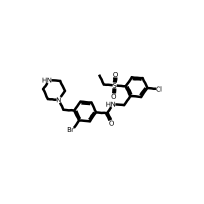 CCS(=O)(=O)c1ccc(Cl)cc1CNC(=O)c1ccc(CN2CCNCC2)c(Br)c1